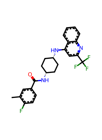 Cc1cc(C(=O)N[C@H]2CC[C@@H](Nc3cc(C(F)(F)F)nc4ccccc34)CC2)ccc1F